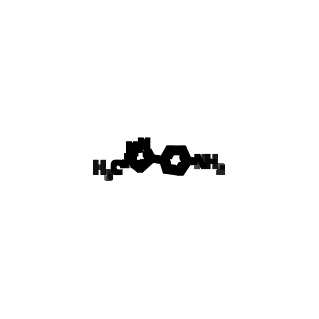 Cn1cc(-c2ccc(N)cc2)nn1